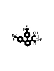 CC(C)CC(C(=O)O)c1cccc(-c2ccc(C(F)(F)F)cc2)c1-c1ccc(C(F)(F)F)cc1